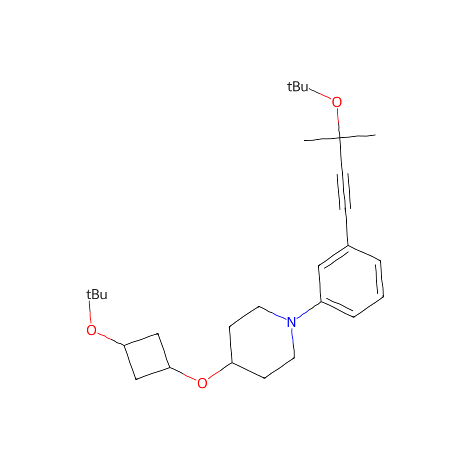 CC(C)(C)OC1CC(OC2CCN(c3cccc(C#CC(C)(C)OC(C)(C)C)c3)CC2)C1